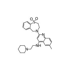 Cc1ccc2nc(N3CCS(=O)(=O)c4ccccc4C3)cc(NCCN3CCCCC3)c2c1